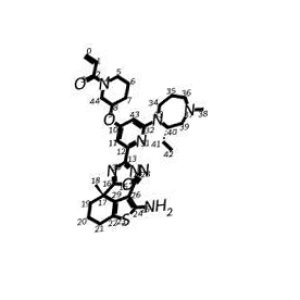 C=CC(=O)N1CCCC(Oc2cc(-c3noc([C@@]4(C)CCCc5sc(N)c(C#N)c54)n3)nc(N3CCCN(C)C[C@@H]3CC)c2)C1